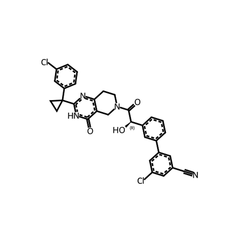 N#Cc1cc(Cl)cc(-c2cccc([C@@H](O)C(=O)N3CCc4nc(C5(c6cccc(Cl)c6)CC5)[nH]c(=O)c4C3)c2)c1